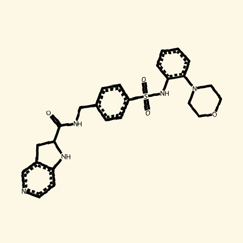 O=C(NCc1ccc(S(=O)(=O)Nc2ccccc2N2CCOCC2)cc1)C1Cc2cnccc2N1